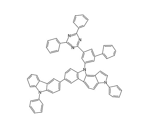 c1ccc(-c2cc(-c3nc(-c4ccccc4)nc(-c4ccccc4)n3)cc(-n3c4ccc(-c5ccc6c(c5)c5ccccc5n6-c5ccccc5)cc4c4ccc5c(ccn5-c5ccccc5)c43)c2)cc1